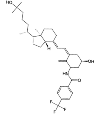 C=C1/C(=C\C=C2/CCC[C@]3(C)[C@@H]([C@H](C)CCCC(C)(C)O)CC[C@@H]23)C[C@@H](O)CC1NC(=O)c1ccc(C(F)(F)F)cc1